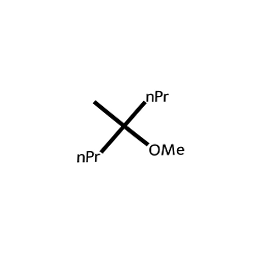 CCCC(C)(CCC)OC